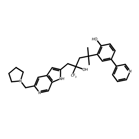 CC(C)(CC(O)(Cc1cc2cc(CN3CCCC3)ncc2[nH]1)C(F)(F)F)c1cc(-c2cccnc2)ccc1O